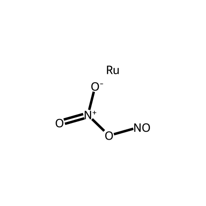 O=NO[N+](=O)[O-].[Ru]